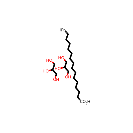 CC(C)CCCCCCCCCCCCCCC(=O)O.OCC(O)CO.OCC(O)CO